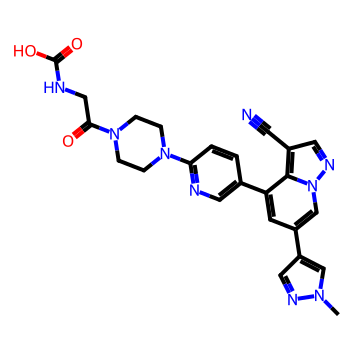 Cn1cc(-c2cc(-c3ccc(N4CCN(C(=O)CNC(=O)O)CC4)nc3)c3c(C#N)cnn3c2)cn1